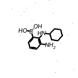 Nc1cccc(B(O)O)c1NC1CCCCC1